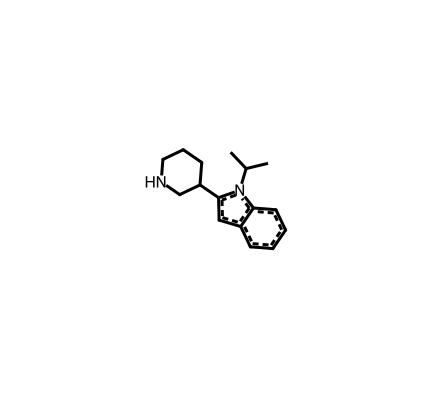 CC(C)n1c(C2CCCNC2)cc2ccccc21